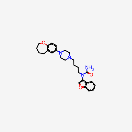 NC(=O)N(CCCCN1CCN(c2ccc3c(c2)CCCCO3)CC1)c1coc2ccccc12